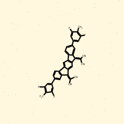 Cc1c(F)cc(-c2ccc3c(c2)C(=C(C#N)C#N)c2cc4c(cc2-3)-c2ccc(-c3cc(F)c(C(F)(F)F)c(F)c3)cc2C4=C(C#N)C#N)cc1F